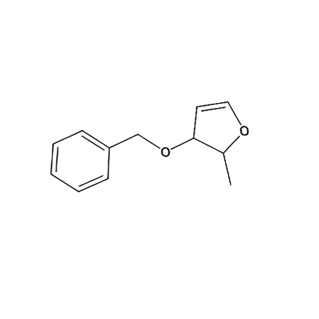 CC1OC=CC1OCc1ccccc1